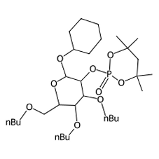 CCCCOCC1OC(OC2CCCCC2)C(OP2(=O)OC(C)(C)CC(C)(C)O2)C(OCCCC)C1OCCCC